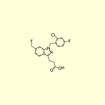 O=C(O)CCc1nn(Cc2ccc(F)cc2Cl)c2cc(CF)ccc12